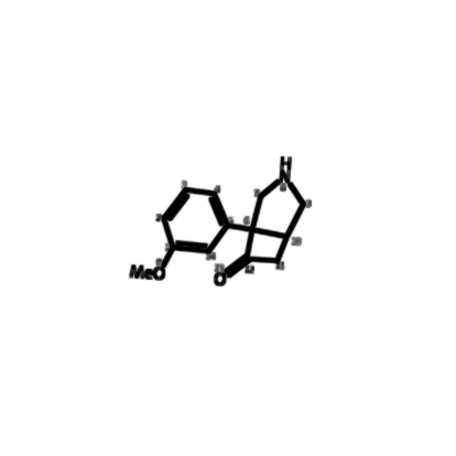 COc1cccc(C23CNCC2CC3=O)c1